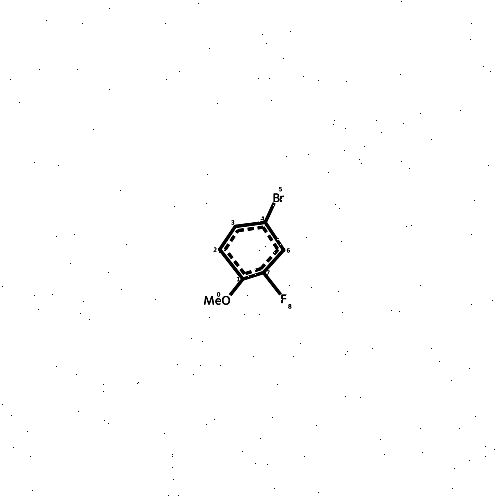 COc1[c]cc(Br)cc1F